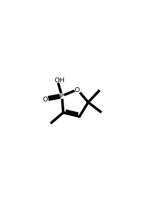 CC1=CC(C)(C)OP1(=O)O